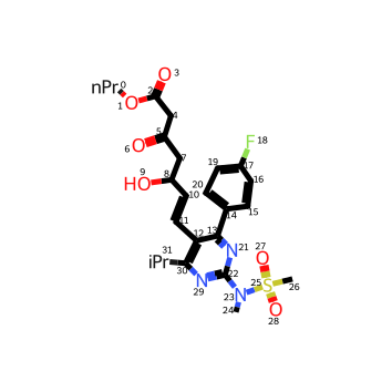 CCCOC(=O)CC(=O)CC(O)C=Cc1c(-c2ccc(F)cc2)nc(N(C)S(C)(=O)=O)nc1C(C)C